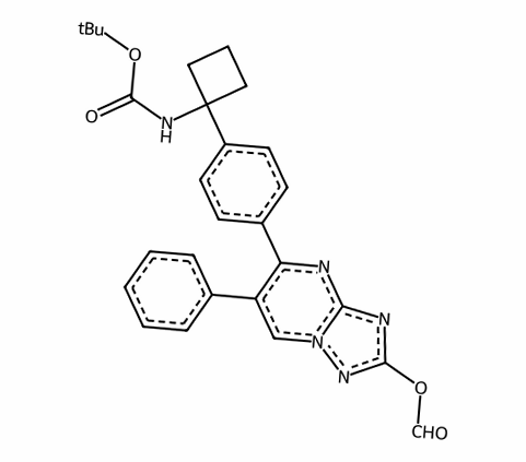 CC(C)(C)OC(=O)NC1(c2ccc(-c3nc4nc(OC=O)nn4cc3-c3ccccc3)cc2)CCC1